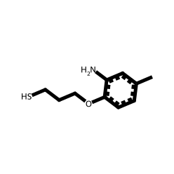 Cc1ccc(OCCCS)c(N)c1